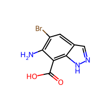 Nc1c(Br)cc2cn[nH]c2c1C(=O)O